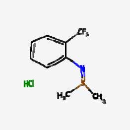 CS(C)=Nc1ccccc1C(F)(F)F.Cl